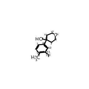 Cc1ccc(C2(O)CCOCC2)cc1F